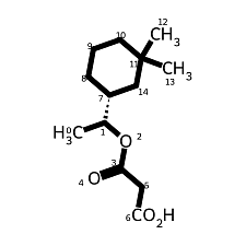 CC(OC(=O)CC(=O)O)[C@@H]1CCCC(C)(C)C1